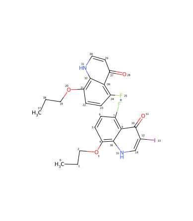 CCCOc1ccc(F)c2c(=O)c(I)c[nH]c12.CCCOc1ccc(F)c2c(=O)cc[nH]c12